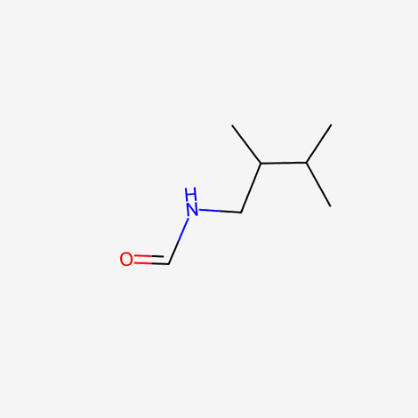 CC(C)C(C)CNC=O